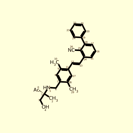 CC(=O)[C@](C)(CO)NCc1cc(C)c(/C=C/c2cccc(-c3ccccc3)c2C#N)cc1C